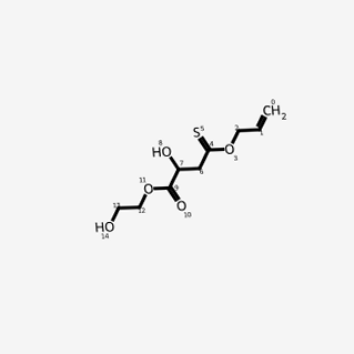 C=CCOC(=S)CC(O)C(=O)OCCO